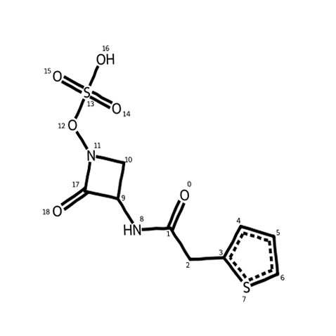 O=C(Cc1cccs1)NC1CN(OS(=O)(=O)O)C1=O